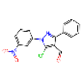 O=Cc1c(-c2ccccc2)nn(-c2cccc([N+](=O)[O-])c2)c1Cl